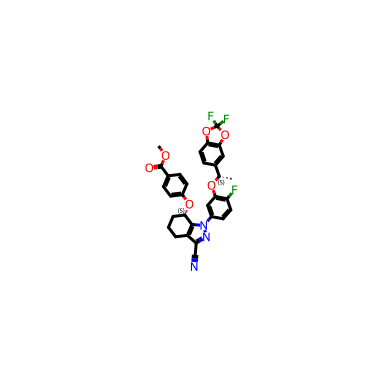 COC(=O)c1ccc(O[C@H]2CCCc3c(C#N)nn(-c4ccc(F)c(O[C@@H](C)c5ccc6c(c5)OC(F)(F)O6)c4)c32)cc1